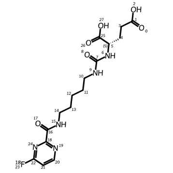 O=C(O)CC[C@H](NC(=O)NCCCCCNC(=O)c1nccc([18F])n1)C(=O)O